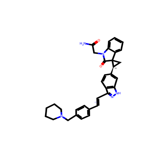 NC(=O)CN1C(=O)C2(C[C@H]2c2ccc3c(/C=C/c4ccc(CN5CCCCC5)cc4)n[nH]c3c2)c2ccccc21